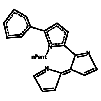 CCCCCn1c(C2=NC=CC2=C2C=CC=N2)ccc1-c1ccccc1